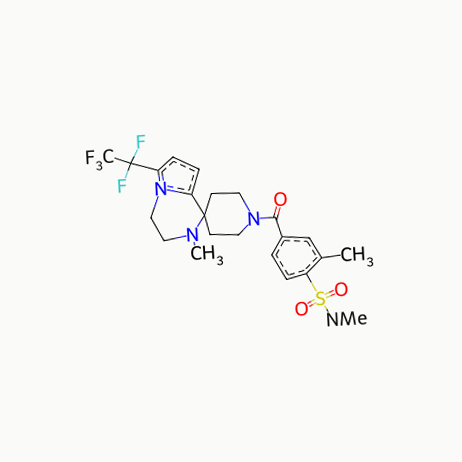 CNS(=O)(=O)c1ccc(C(=O)N2CCC3(CC2)c2ccc(C(F)(F)C(F)(F)F)n2CCN3C)cc1C